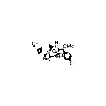 CO[C@H](c1ncc(Cl)cn1)[C@H](C)S(=O)(=O)Nc1nnc([C@H]2C[C@@H](CO)C2)n1C1CC1